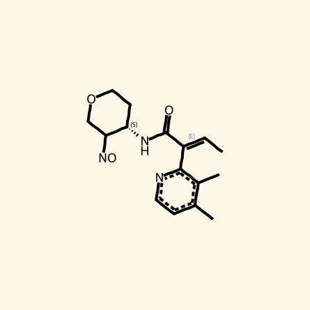 C/C=C(/C(=O)N[C@H]1CCOCC1N=O)c1nccc(C)c1C